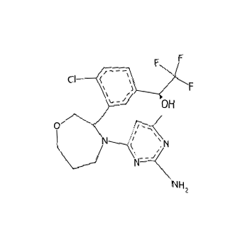 Cc1cc(N2CCCOCC2c2cc([C@H](O)C(F)(F)F)ccc2Cl)nc(N)n1